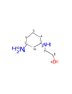 NC1CCCC(NCCO)C1